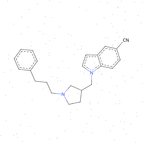 N#Cc1ccc2c(ccn2CC2CCN(CCCc3ccccc3)C2)c1